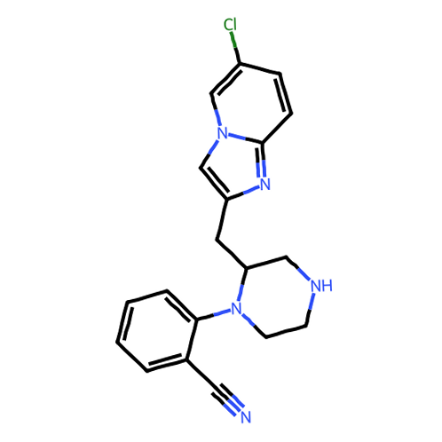 N#Cc1ccccc1N1CCNCC1Cc1cn2cc(Cl)ccc2n1